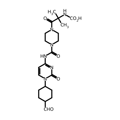 CC(C)(NC(=O)O)C(=O)N1CCN(C(=O)Nc2ccn(C3CCC(C=O)CC3)c(=O)n2)CC1